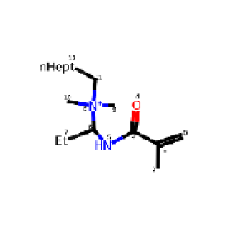 C=C(C)C(=O)NC(CC)[N+](C)(C)CCCCCCCC